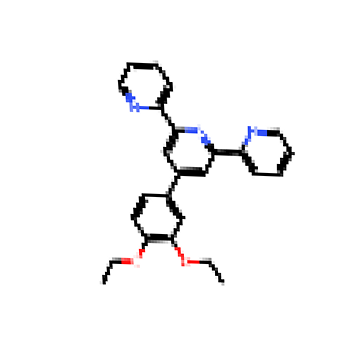 CCOc1ccc(-c2cc(-c3ccccn3)nc(-c3ccccn3)c2)cc1OCC